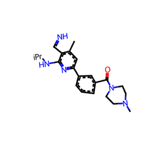 Cc1cc(-c2cccc(C(=O)N3CCN(C)CC3)c2)nc(NC(C)C)c1C=N